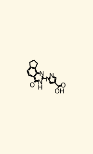 O=C(O)c1cnn(-c2nc3c4c(ccc3c(=O)[nH]2)CCC4)c1